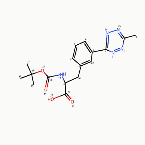 Cc1nnc(-c2cccc(CC(NC(=O)OC(C)(C)C)C(=O)O)c2)nn1